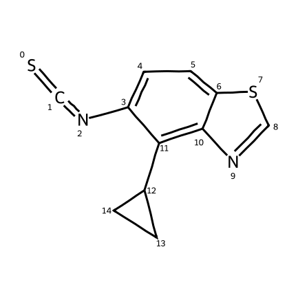 S=C=Nc1ccc2scnc2c1C1CC1